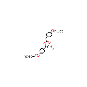 CCCCCCCCCCCCOc1ccc(C(C)OC(=O)Cc2ccc(OCCCCCCCC)cc2)cc1